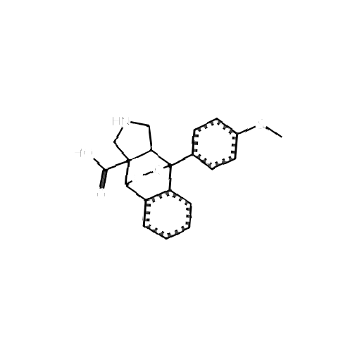 CSc1ccc(C23CCC(c4ccccc42)C2(C(=O)O)CNCC32)cc1